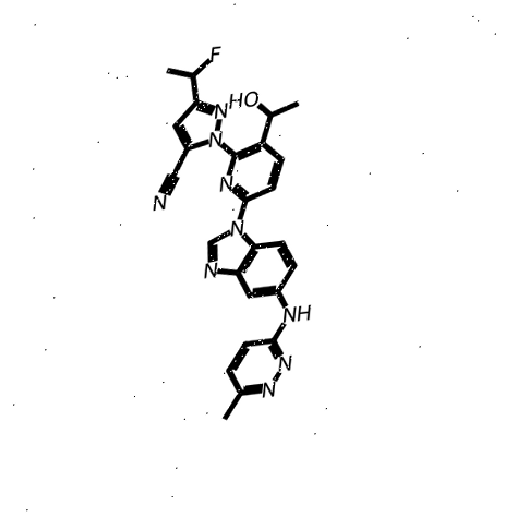 Cc1ccc(Nc2ccc3c(c2)ncn3-c2ccc(C(C)O)c(-n3nc(C(C)F)cc3C#N)n2)nn1